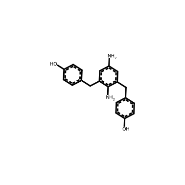 Nc1cc(Cc2ccc(O)cc2)c(N)c(Cc2ccc(O)cc2)c1